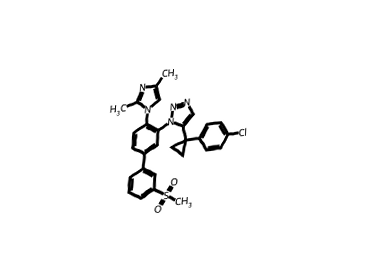 Cc1cn(-c2ccc(-c3cccc(S(C)(=O)=O)c3)cc2-n2nncc2C2(c3ccc(Cl)cc3)CC2)c(C)n1